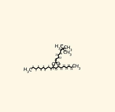 CCCCCCCCCC(CCCCCCCC)OC(=O)CCCCCC(C)(C)C